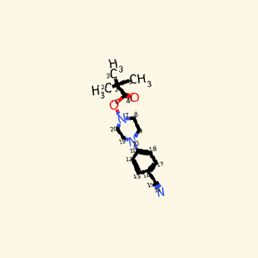 CC(C)(C)C(=O)ON1CCN(c2ccc(C#N)cc2)CC1